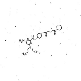 CCCN(CCC)c1cc(N)nc(NCc2ccc(CNCCCNC3CCCCC3)cc2)n1